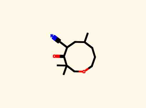 CC1CCCOCC(C)(C)C(=O)C(C#N)C1